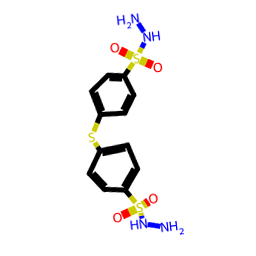 NNS(=O)(=O)c1ccc(Sc2ccc(S(=O)(=O)NN)cc2)cc1